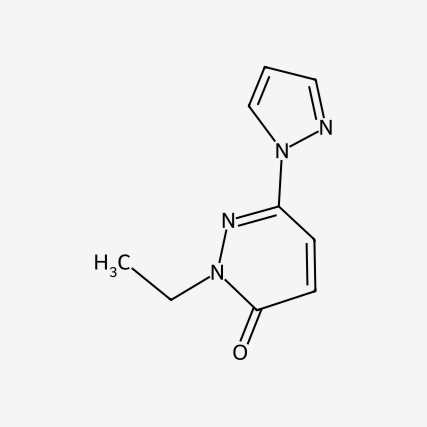 CCn1nc(-n2cccn2)ccc1=O